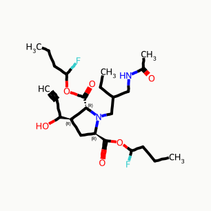 C#CC(O)[C@@H]1C[C@H](C(=O)OC(F)CCC)N(CC(CC)CNC(C)=O)[C@H]1C(=O)OC(F)CCC